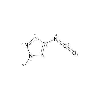 Cn1cc(N=C=O)cn1